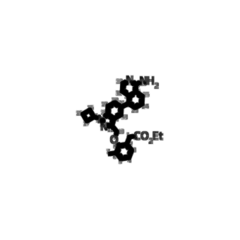 CCOC(=O)Cc1cccc(C)c1OCc1nn(C2CCC2)c2ccc(-c3cccc4c(N)nccc34)cc12